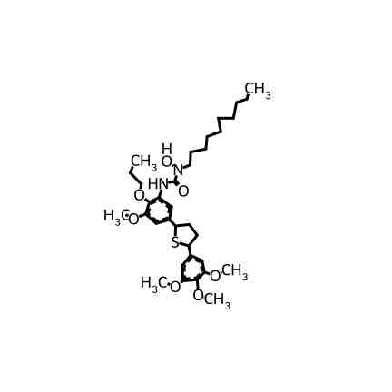 CCCCCCCCCCN(O)C(=O)Nc1cc(C2CCC(c3cc(OC)c(OC)c(OC)c3)S2)cc(OC)c1OCCC